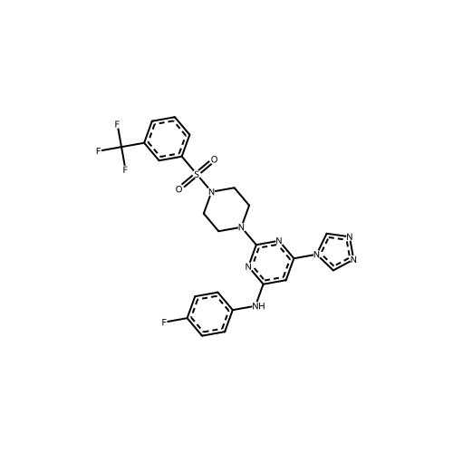 O=S(=O)(c1cccc(C(F)(F)F)c1)N1CCN(c2nc(Nc3ccc(F)cc3)cc(-n3cnnc3)n2)CC1